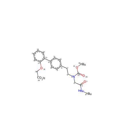 CCCCNC(=O)CN(CCc1ccc(-c2ccccc2OCC(=O)O)cc1)C(=O)OCCCC